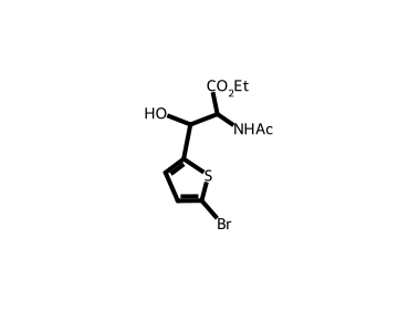 CCOC(=O)C(NC(C)=O)C(O)c1ccc(Br)s1